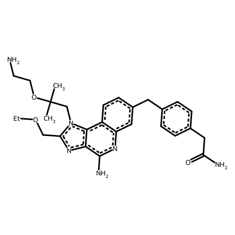 CCOCc1nc2c(N)nc3cc(Cc4ccc(CC(N)=O)cc4)ccc3c2n1CC(C)(C)OCCN